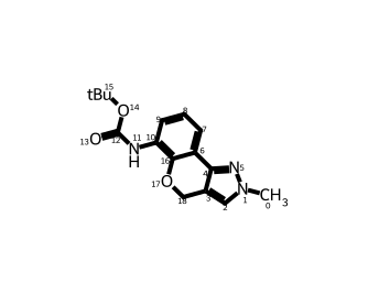 Cn1cc2c(n1)-c1cccc(NC(=O)OC(C)(C)C)c1OC2